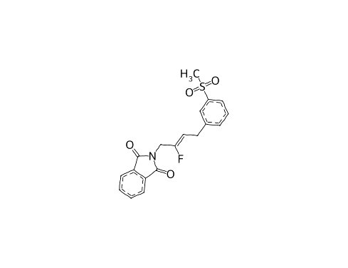 CS(=O)(=O)c1cccc(CC=C(F)CN2C(=O)c3ccccc3C2=O)c1